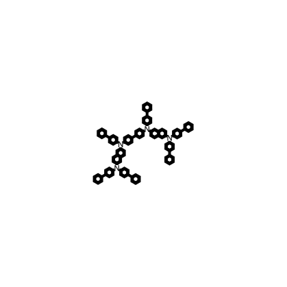 c1ccc(-c2ccc(N(c3ccc(-c4ccccc4)cc3)c3ccc4cc(N(c5ccc(-c6ccccc6)cc5)c5ccc(-c6ccc(N(c7ccc(-c8ccccc8)cc7)c7ccc8cc(N(c9ccc(-c%10ccccc%10)cc9)c9ccc(-c%10ccccc%10)cc9)ccc8c7)cc6)cc5)ccc4c3)cc2)cc1